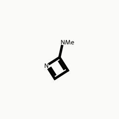 CNC1=CC=N1